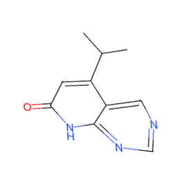 CC(C)c1cc(=O)[nH]c2ncncc12